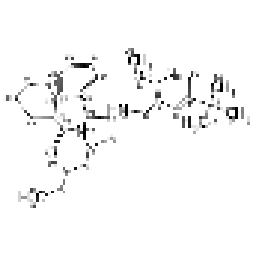 CCCCC1CC(NCc2cc(C(C)(C)C)ccc2OC)C(c2ccccc2)N1C(=O)C1CCCCC1